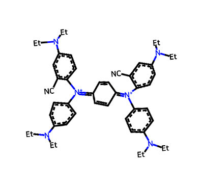 CCN(CC)c1ccc([N+](=C2C=CC(=[N+](c3ccc(N(CC)CC)cc3)c3ccc(N(CC)CC)cc3C#N)C=C2)c2ccc(N(CC)CC)cc2C#N)cc1